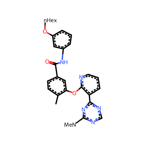 CCCCCCOc1cccc(NC(=O)c2ccc(C)c(Oc3ncccc3-c3ncnc(NC)n3)c2)c1